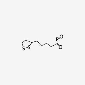 O=PC(=O)CCCCC1CCSS1